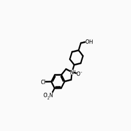 O=[N+]([O-])c1cc2c(cc1Cl)C[N+]([O-])(C1CCC(CO)CC1)C2